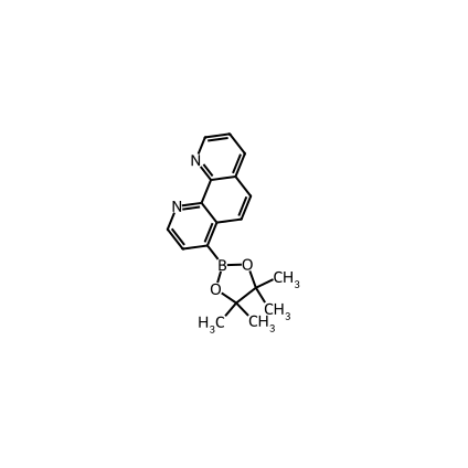 CC1(C)OB(c2ccnc3c2ccc2cccnc23)OC1(C)C